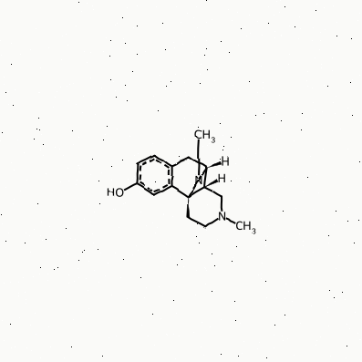 CN1CC[C@]23CCCN(C)[C@H](Cc4ccc(O)cc42)[C@@H]3C1